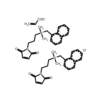 C=CC(=O)[O-].C[N+](C)(CCCN1C(=O)C=CC1=O)Cc1cccc2ccccc12.C[N+](C)(CCCN1C(=O)C=CC1=O)Cc1cccc2ccccc12.[Cl-]